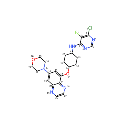 Fc1c(Cl)ncnc1NC1CCC(Oc2cc(N3CCOCC3)cc3nccnc23)CC1